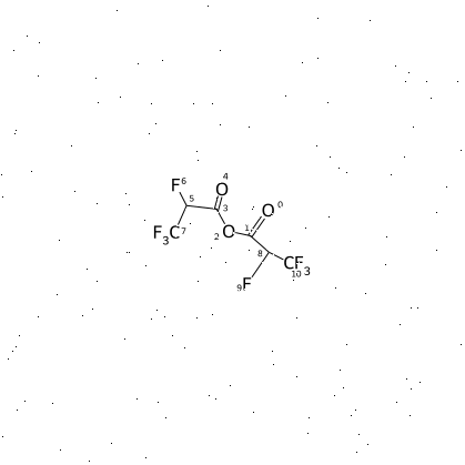 O=C(OC(=O)C(F)C(F)(F)F)C(F)C(F)(F)F